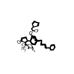 CC1(C)Oc2cc(CCCCc3ccccc3)cc(OC(=O)CC3CCCC3)c2C2=C1C(=O)CC2